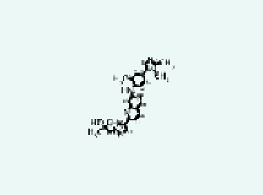 Cc1cc(-c2cnc(C)n2C)ccc1Nc1cc2nc(-c3cnn(CC(C)(C)O)c3)ccc2cn1